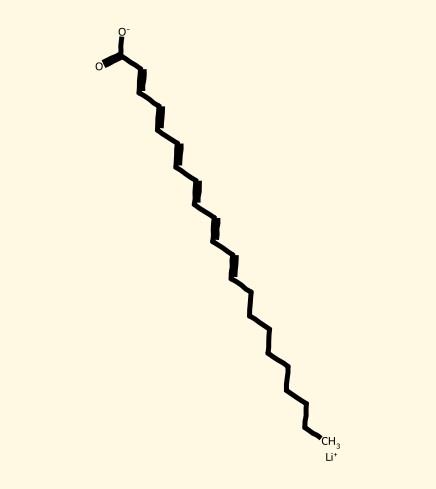 CCCCCCCCCC=CC=CC=CC=CC=CC=CC(=O)[O-].[Li+]